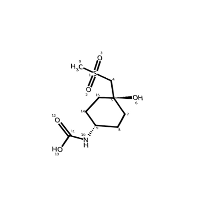 CS(=O)(=O)C[C@]1(O)CC[C@H](NC(=O)O)CC1